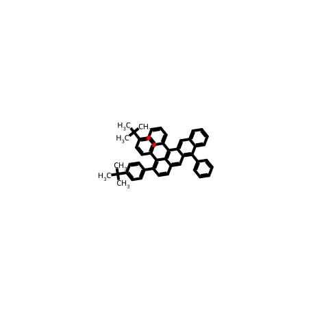 CC(C)(C)c1ccc(-c2ccc3cc4c(-c5ccccc5)c5ccccc5cc4c(-c4ccccc4)c3c2-c2ccc(C(C)(C)C)cc2)cc1